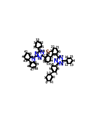 c1ccc(-c2ccc(-c3nc(-c4ccccc4)nc(-c4cccc5sc6c(-c7nc(-c8ccccc8)nc(-n8c9ccccc9c9ccccc98)n7)cccc6c45)n3)cc2)cc1